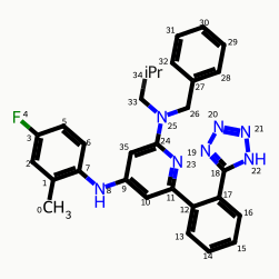 Cc1cc(F)ccc1Nc1cc(-c2ccccc2-c2nnn[nH]2)nc(N(Cc2ccccc2)CC(C)C)c1